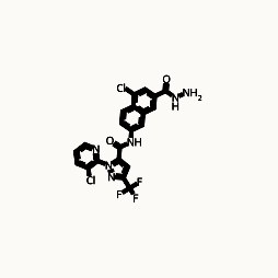 NNC(=O)c1cc(Cl)c2ccc(NC(=O)c3cc(C(F)(F)F)nn3-c3ncccc3Cl)cc2c1